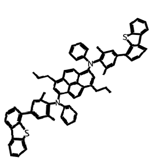 CCCc1cc(N(c2ccccc2)c2c(C)cc(-c3cccc4c3sc3ccccc34)cc2C)c2ccc3c(CCC)cc(N(c4ccccc4)c4c(C)cc(-c5cccc6c5sc5ccccc56)cc4C)c4ccc1c2c34